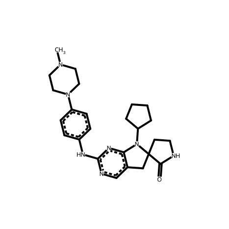 CN1CCN(c2ccc(Nc3ncc4c(n3)N(C3CCCC3)C3(CCNC3=O)C4)cc2)CC1